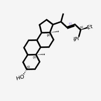 CC[C@H](/C=C/C(C)C1CCC2C3CCC4C[C@@H](O)CC[C@]4(C)C3CC[C@]12C)C(C)C